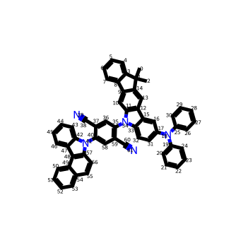 CC1(C)c2ccccc2-c2cc3c(cc21)c1cc(N(c2ccccc2)c2ccccc2)ccc1n3-c1cc(C#N)c(-n2c3ccccc3c3c4ccccc4ccc32)cc1C#N